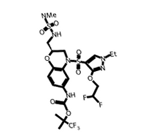 CCn1cc(S(=O)(=O)N2C[C@H](CNS(=O)(=O)NC)Oc3ccc(NC(=O)OC(C)(C)C(F)(F)F)cc32)c(OCC(F)F)n1